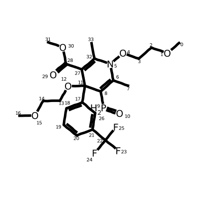 COCCON1C(C)=C([PH2]=O)C(OCCOC)(c2cccc(C(F)(F)F)c2)C(C(=O)OC)=C1C